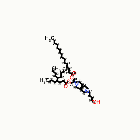 CCCCCCCCCCCCCCCC(=O)OCC(COC(=O)CCC(CCCC)C(CCCC)CCCC)N1CCC2(CCN(CCCCO)CC2)CC1